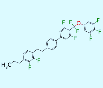 CCCc1ccc(CCc2ccc(-c3cc(F)c(C(F)(F)Oc4cc(F)c(F)c(F)c4)c(F)c3)cc2)c(F)c1F